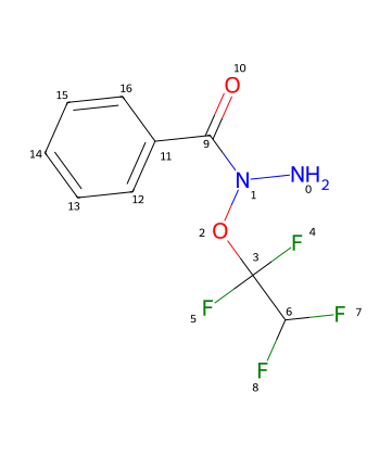 NN(OC(F)(F)C(F)F)C(=O)c1ccccc1